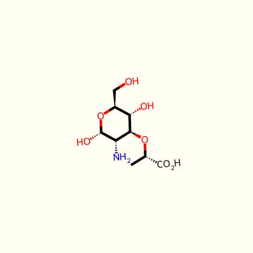 C[C@H](O[C@H]1[C@H](N)[C@H](O)O[C@@H](CO)[C@@H]1O)C(=O)O